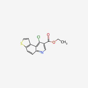 CCOC(=O)c1cnc2ccc3sccc3c2c1Cl